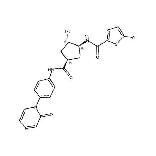 O=C(N[C@H]1C[C@@H](C(=O)Nc2ccc(-n3ccncc3=O)cc2)C[C@@H]1O)c1ccc(Cl)s1